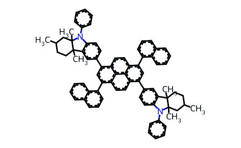 CC1CCC2(C)c3cc(-c4cc(-c5cccc6ccccc56)c5ccc6c(-c7ccc8c(c7)C7(C)CCC(C)CC7(C)N8c7ccccc7)cc(-c7cccc8ccccc78)c7ccc4c5c67)ccc3N(c3ccccc3)C2(C)C1